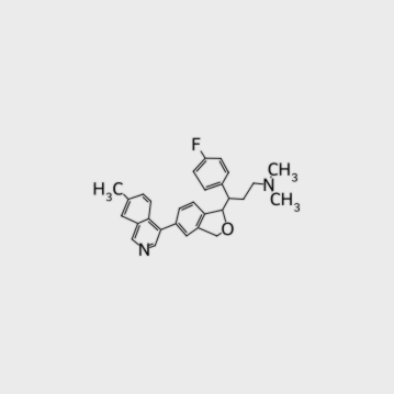 Cc1ccc2c(-c3ccc4c(c3)COC4C(CCN(C)C)c3ccc(F)cc3)cncc2c1